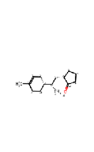 CC1=CC[C@H]([C@@H](C)C[C@@H]2CCCC2=O)CC1